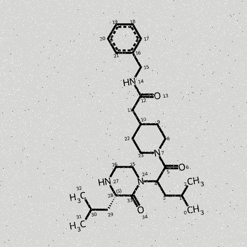 CC(C)CC(C(=O)N1CCC(CC(=O)NCc2ccccc2)CC1)N1CCN[C@@H](CC(C)C)C1=O